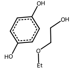 CCOCCO.Oc1ccc(O)cc1